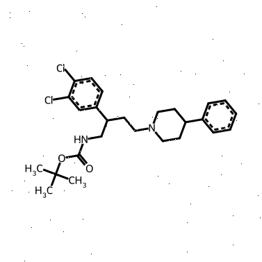 CC(C)(C)OC(=O)NCC(CCN1CCC(c2ccccc2)CC1)c1ccc(Cl)c(Cl)c1